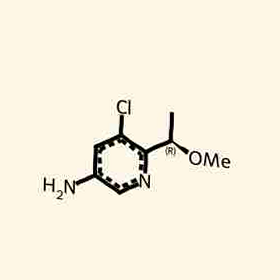 CO[C@H](C)c1ncc(N)cc1Cl